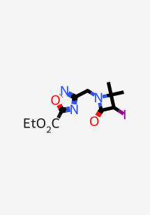 CCOC(=O)c1nc(CN2C(=O)C(I)C2(C)C)no1